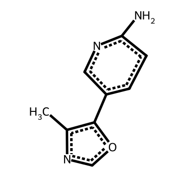 Cc1ncoc1-c1ccc(N)nc1